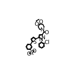 CS(=O)(=O)c1cccc(-c2ccc(-c3cc(C(=O)N4CCC5(CC4)OCCO5)nn3-c3ccccc3Cl)s2)c1